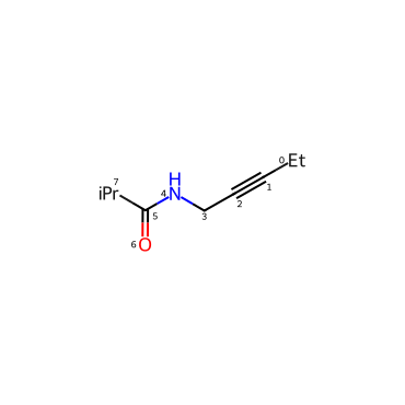 CCC#CCNC(=O)C(C)C